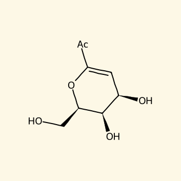 CC(=O)C1=C[C@@H](O)[C@@H](O)[C@@H](CO)O1